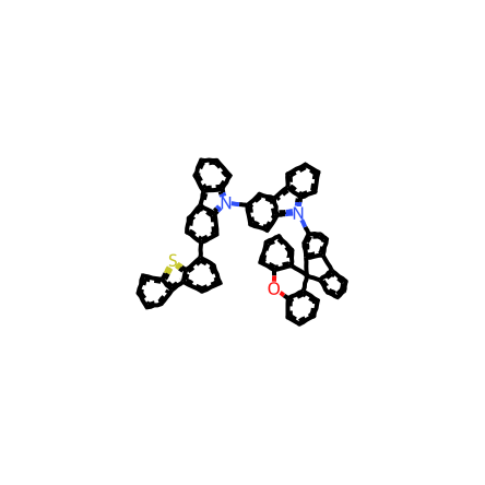 c1ccc2c(c1)Oc1ccccc1C21c2ccccc2-c2ccc(-n3c4ccccc4c4cc(-n5c6ccccc6c6ccc(-c7cccc8c7sc7ccccc78)cc65)ccc43)cc21